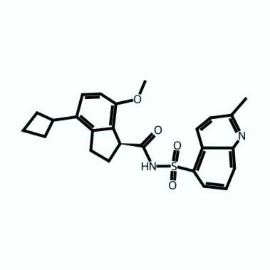 COc1ccc(C2CCC2)c2c1[C@@H](C(=O)NS(=O)(=O)c1cccc3nc(C)ccc13)CC2